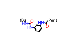 CCCC(C)C(=O)Nc1cccc(NC(=O)NC(C)(C)C)c1